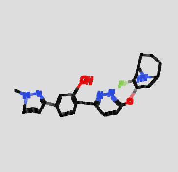 Cn1ccc(-c2ccc(-c3ccc(O[C@H]4CC5CCCC(N5)[C@H]4F)nn3)c(O)c2)n1